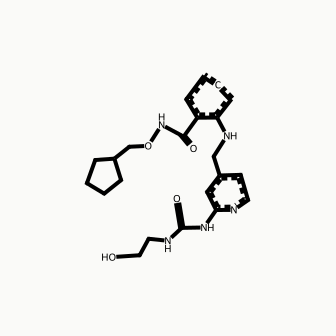 O=C(NCCO)Nc1cc(CNc2ccccc2C(=O)NOCC2CCCC2)ccn1